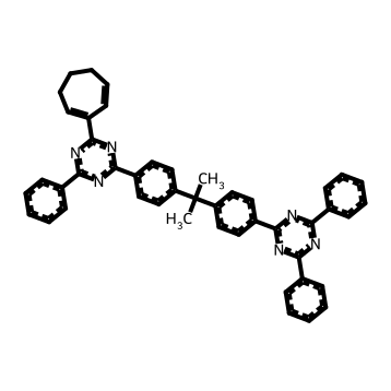 CC(C)(c1ccc(-c2nc(C3=CCCCC=C3)nc(-c3ccccc3)n2)cc1)c1ccc(-c2nc(-c3ccccc3)nc(-c3ccccc3)n2)cc1